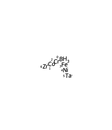 B.[Co].[Cr].[Fe].[Ni].[Ta].[Zr]